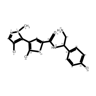 Cn1ncc(Cl)c1-c1cc(C(=O)NC(CN)c2ccc(Cl)cc2)sc1Cl